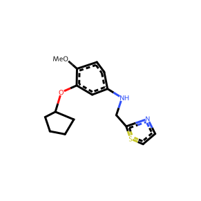 COc1ccc(NCc2nccs2)cc1OC1CCCC1